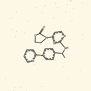 CC(Nc1nccc(N2CCOC2=O)n1)c1ccc(-c2ccccn2)cc1